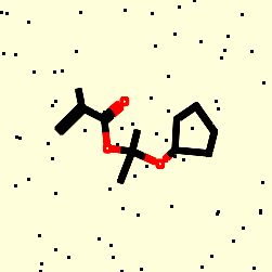 C=C(C)C(=O)OC(C)(C)OC1CCCC1